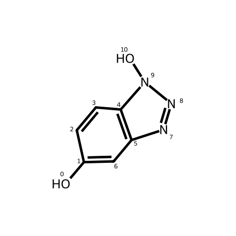 Oc1ccc2c(c1)nnn2O